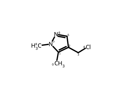 Cc1c(CCl)cnn1C